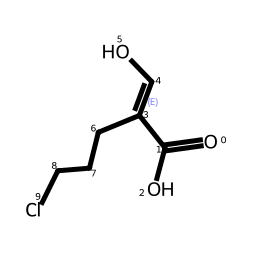 O=C(O)/C(=C/O)CCCCl